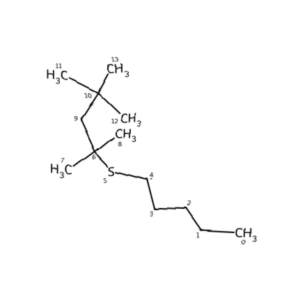 CCCC[CH]SC(C)(C)CC(C)(C)C